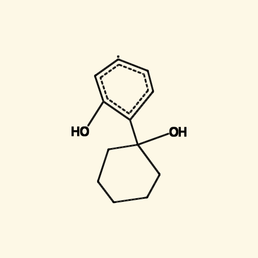 Oc1c[c]ccc1C1(O)CCCCC1